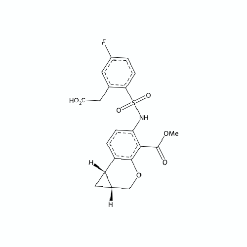 COC(=O)c1c(NS(=O)(=O)c2ccc(F)cc2CC(=O)O)ccc2c1OC[C@@H]1C[C@H]21